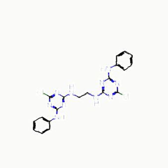 Clc1nc(NCCNc2nc(Cl)nc(Nc3ccccc3)n2)nc(Nc2ccccc2)n1